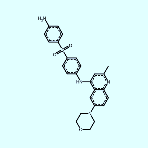 Cc1cc(Nc2ccc(S(=O)(=O)c3ccc(N)cc3)cc2)c2cc(N3CCOCC3)ccc2n1